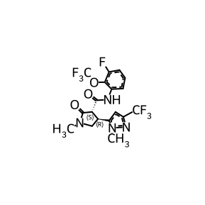 CN1C[C@H](c2cc(C(F)(F)F)nn2C)[C@@H](C(=O)Nc2cccc(F)c2OC(F)(F)F)C1=O